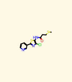 CSCCC(=O)Nc1sc(-c2cccnc2)nc1Cl